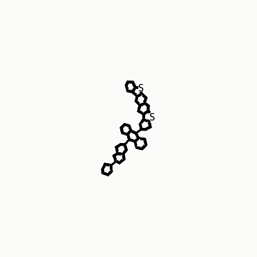 c1ccc(-c2ccc3cc(-c4c5ccccc5c(-c5ccc6sc7cc8cc9sc%10ccccc%10c9cc8cc7c6c5)c5ccccc45)ccc3c2)cc1